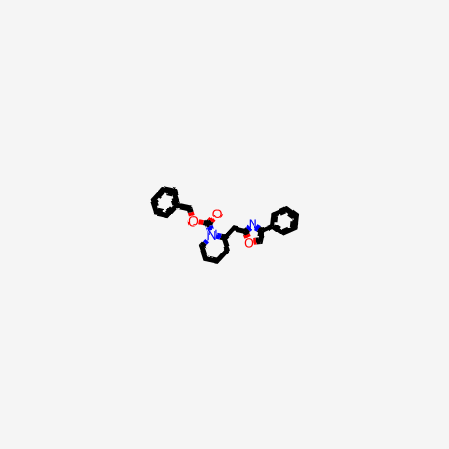 O=C(OCc1ccccc1)N1CCCCC1Cc1nc(-c2ccccc2)co1